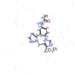 CCOC(=O)c1ncn2c1Cn1ncnc1-c1cc(NC(=O)C(C)C)ccc1-2